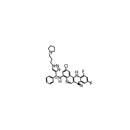 N#Cc1cnc2c(N[C@@H](c3ccccc3)c3cn(CCCN4CCCC4)nn3)cc(Cl)cc2c1Nc1c(F)cc(F)cc1F